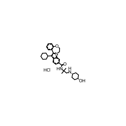 CC(C)(CN[C@H]1CC[C@H](O)CC1)NC(=O)c1ccc2c(C3CCCCC3)c3n(c2c1)CCOc1ccccc1-3.Cl